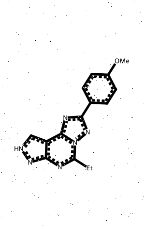 CCc1nc2n[nH]cc2c2nc(-c3ccc(OC)cc3)nn12